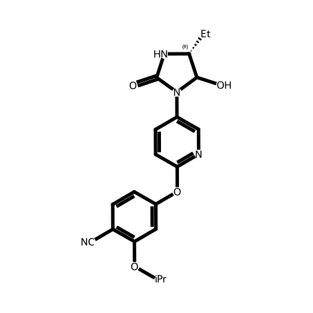 CC[C@H]1NC(=O)N(c2ccc(Oc3ccc(C#N)c(OC(C)C)c3)nc2)C1O